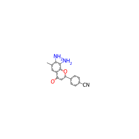 Cc1cc2c(=O)cc(-c3ccc(C#N)cc3)oc2c(N)c1N